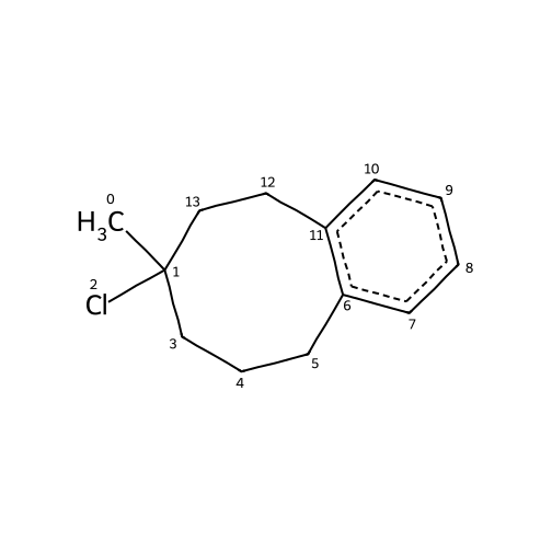 CC1(Cl)CCCc2ccccc2CC1